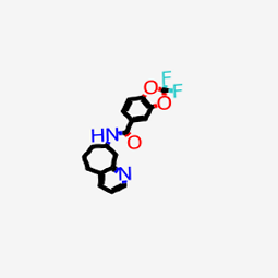 O=C(NC1CCCc2cccnc2C1)c1ccc2c(c1)OC(F)(F)O2